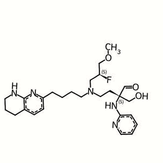 COC[C@@H](F)CN(CCCCc1ccc2c(n1)NCCC2)CC[C@@](C=O)(CO)Nc1ccccn1